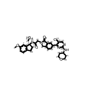 COc1ccc2c(c1)[C@@](CO)(NC(=O)CN1Cc3ccc(-c4nc(NC5CCOCC5)ncc4Cl)cc3C1=O)CC2